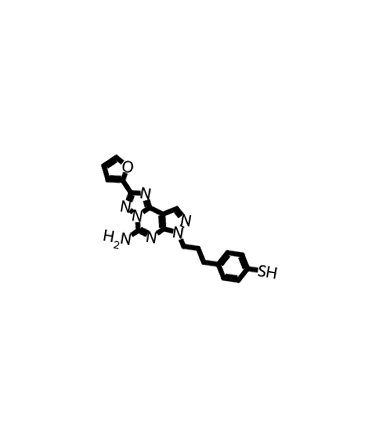 Nc1nc2c(cnn2CCCc2ccc(S)cc2)c2nc(-c3ccco3)nn12